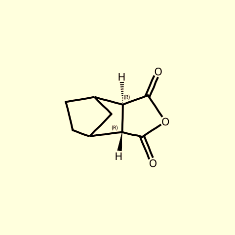 O=C1OC(=O)[C@@H]2C3CCC(C3)[C@@H]12